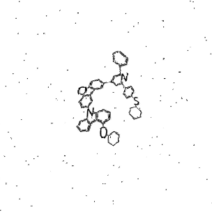 c1ccc(-c2cc(-c3ccc4oc5ccc(-n6c7ccccc7c7c(OC8CCCCC8)cccc76)cc5c4c3)cc(-c3ccc(SC4CCCCC4)cc3)n2)cc1